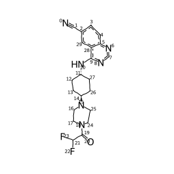 N#Cc1ccc2ncnc(N[C@H]3CC[C@H](N4CCN(C(=O)C(F)F)CC4)CC3)c2c1